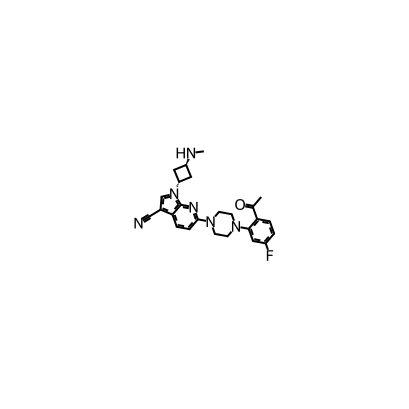 CN[C@H]1C[C@H](n2cc(C#N)c3ccc(N4CCN(c5cc(F)ccc5C(C)=O)CC4)nc32)C1